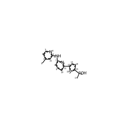 Cc1ccnc(Nc2cccc(-c3ccc(C(C)O)s3)n2)c1